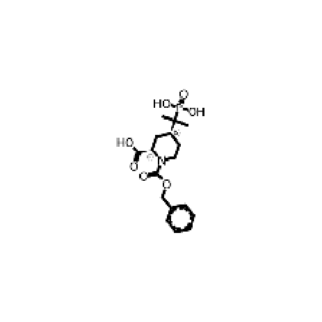 CC(C)([C@H]1CCN(C(=O)OCc2ccccc2)[C@@H](C(=O)O)C1)P(=O)(O)O